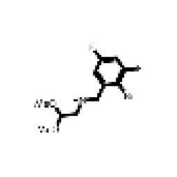 COC(CNCc1cc(F)cc(F)c1Br)OC